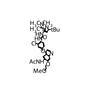 COCCOc1cc2nccc(Oc3ccc(NC(=O)Nc4cc(C(C)(C)C)nn4C(C)N(C)C)c(Cl)c3)c2cc1NC(C)=O